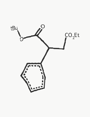 CCOC(=O)CC(C(=O)OC(C)(C)C)c1ccccc1